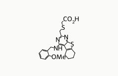 COc1ccccc1CNc1nc(CSCC(=O)O)nc2sc3c(c12)CCCC3